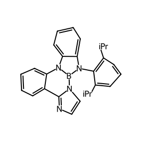 CC(C)c1cccc(C(C)C)c1N1B2N(c3ccccc3-c3nccn32)c2ccccc21